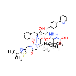 CCC(C)[C@@H](C(=O)N[C@@H](Cc1ccccc1)[C@@H](O)C[C@H](Cc1ccc(-c2ccccn2)cc1)NC(=O)[C@@H](NC(=O)O)C(C)(C)C)N1CC(=O)N(Cc2csc(C(C)C)n2)C1=O